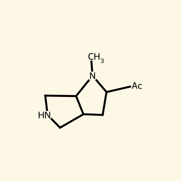 CC(=O)C1CC2CNCC2N1C